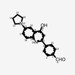 O=Cc1ccc(-c2cc(O)c3cc(N4CCCC4)ccc3n2)cc1